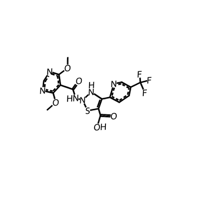 COc1ncnc(OC)c1C(=O)NN1NC(c2ccc(C(F)(F)F)cn2)=C(C(=O)O)S1